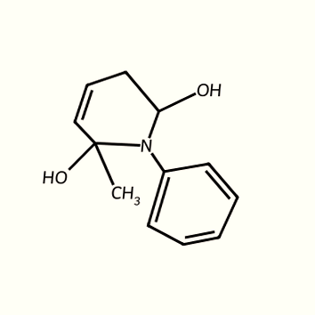 CC1(O)C=CCC(O)N1c1ccccc1